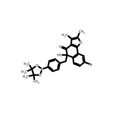 Cc1oc2c(c1C)C(=O)C(O)(Cc1ccc(B3OC(C)(C)C(C)(C)O3)cc1)c1ccc(Br)cc1-2